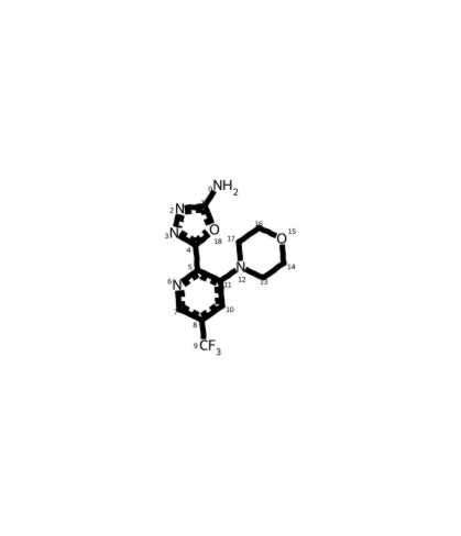 Nc1nnc(-c2ncc(C(F)(F)F)cc2N2CCOCC2)o1